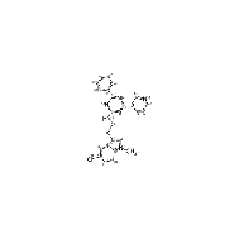 Cn1cc(CCNc2cc(-c3cccnc3)nc(-c3ccccn3)n2)c2cc(Cl)ccc21